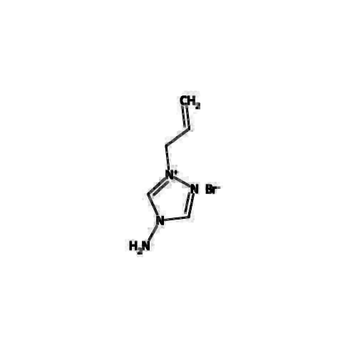 C=CC[n+]1cn(N)cn1.[Br-]